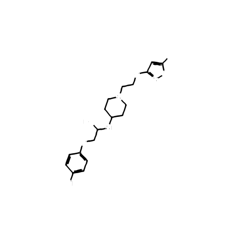 OC(COc1ccc(Cl)cc1)NC1CCN(CCOc2cc(Cl)sn2)CC1